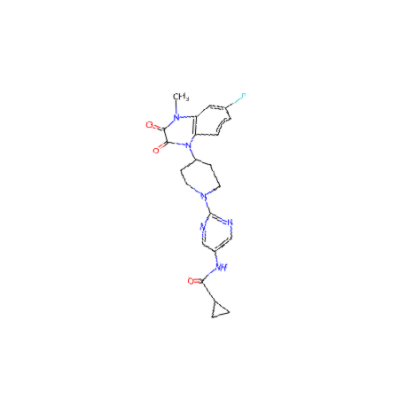 Cn1c(=O)c(=O)n(C2CCN(c3ncc(NC(=O)C4CC4)cn3)CC2)c2ccc(F)cc21